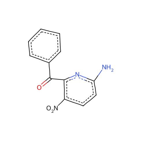 Nc1ccc([N+](=O)[O-])c(C(=O)c2ccccc2)n1